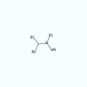 CCCN(CC)C(CC)C(C)=O